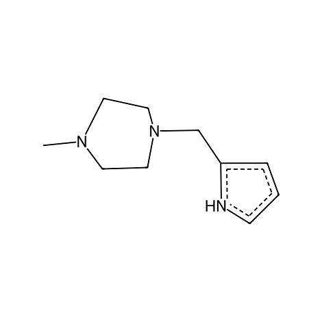 CN1CCN(Cc2ccc[nH]2)CC1